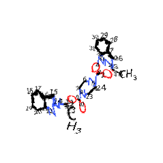 C[C@@H](OC(=O)N1CCN(C(=O)O[C@H](C)n2cc3ccccc3n2)CC1)n1cc2ccccc2n1